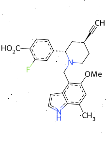 C#C[C@H]1CCN(Cc2c(OC)cc(C)c3[nH]ccc23)[C@H](c2ccc(C(=O)O)c(F)c2)C1